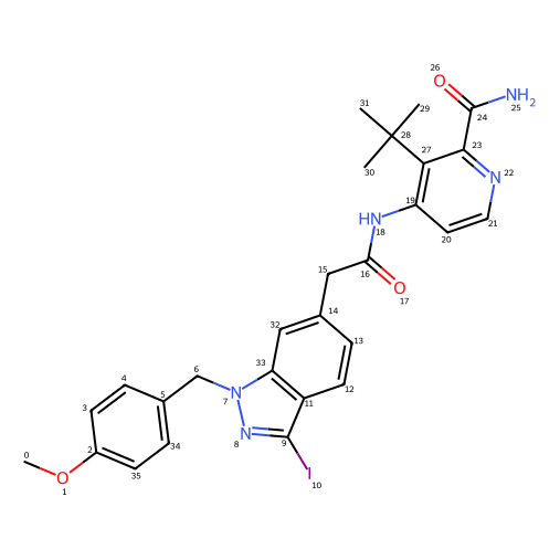 COc1ccc(Cn2nc(I)c3ccc(CC(=O)Nc4ccnc(C(N)=O)c4C(C)(C)C)cc32)cc1